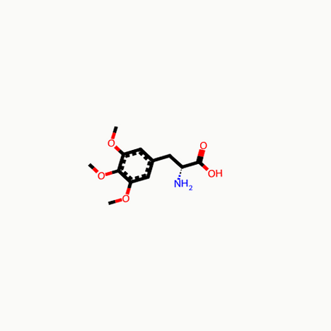 COc1cc(C[C@@H](N)C(=O)O)cc(OC)c1OC